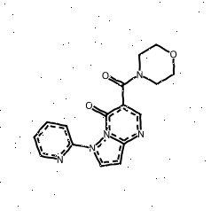 O=C(c1cnc2ccn(-c3ccccn3)n2c1=O)N1CCOCC1